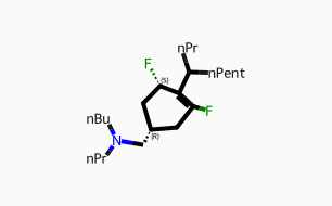 CCCCCC(CCC)C1=C(F)C[C@H](CN(CCC)CCCC)C[C@@H]1F